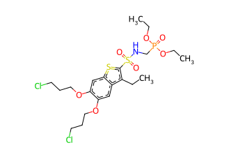 CCOP(=O)(CNS(=O)(=O)c1sc2cc(OCCCCl)c(OCCCCl)cc2c1CC)OCC